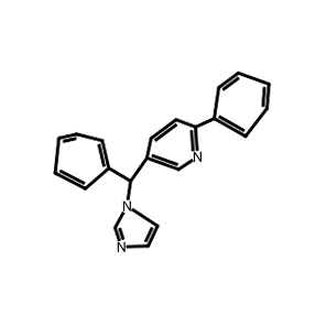 c1ccc(-c2ccc(C(c3ccccc3)n3ccnc3)cn2)cc1